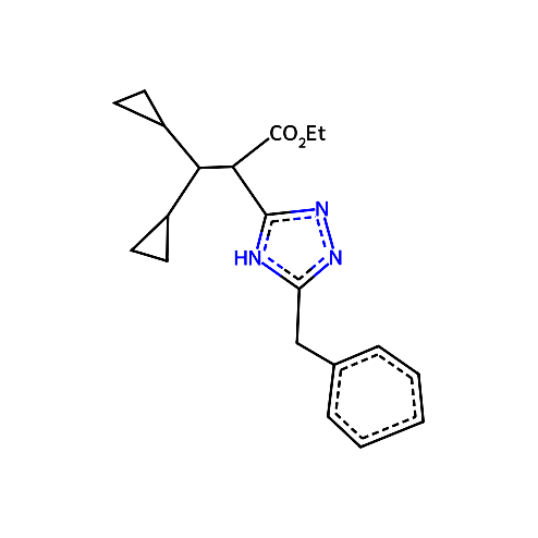 CCOC(=O)C(c1nnc(Cc2ccccc2)[nH]1)C(C1CC1)C1CC1